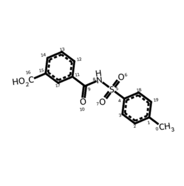 Cc1ccc(S(=O)(=O)NC(=O)c2cccc(C(=O)O)c2)cc1